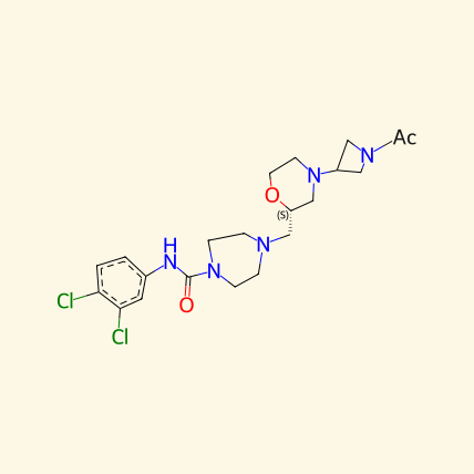 CC(=O)N1CC(N2CCO[C@@H](CN3CCN(C(=O)Nc4ccc(Cl)c(Cl)c4)CC3)C2)C1